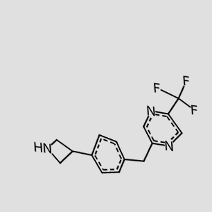 FC(F)(F)c1cnc(Cc2ccc(C3CNC3)cc2)cn1